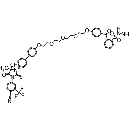 CC1(C)C(=O)N(c2ccc(C#N)c(C(F)(F)F)c2)C(=S)N1c1ccc(-c2ccc(OCCOCCOCCOCCOc3ccc(C(=O)c4ccccc4S(=O)(=O)NN)cc3)cc2)cc1